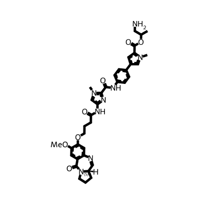 COc1cc2c(cc1OCCCC(=O)Nc1cn(C)c(C(=O)Nc3ccc(-c4cc(C(=O)OC(C)CN)n(C)c4)cc3)n1)N=C[C@@H]1CCCN1C2=O